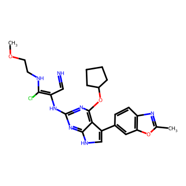 COCCN/C(Cl)=C(\C=N)Nc1nc(OC2CCCC2)c2c(-c3ccc4nc(C)oc4c3)c[nH]c2n1